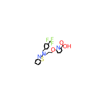 O=C(O)c1cccc(OCCCN(Cc2ccc(C(F)(F)F)cc2)c2nc3ccccc3s2)n1